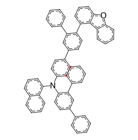 c1ccc(-c2ccc(N(c3ccc(-c4ccc(-c5cccc6oc7ccccc7c56)c(-c5ccccc5)c4)cc3)c3cccc4ccccc34)c(-c3ccccc3)c2)cc1